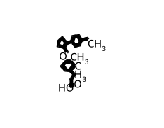 CCc1ccc(C2=C(COc3ccc(CCC(=O)O)c(C)c3C)CCC2)cc1